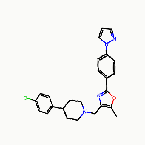 Cc1oc(-c2ccc(-n3cccn3)cc2)nc1CN1CCC(c2ccc(Cl)cc2)CC1